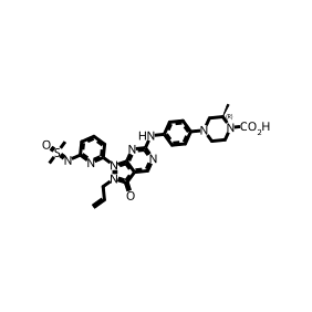 C=CCn1c(=O)c2cnc(Nc3ccc(N4CCN(C(=O)O)[C@H](C)C4)cc3)nc2n1-c1cccc(N=S(C)(C)=O)n1